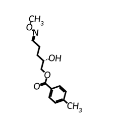 CON=CCC[C@H](O)COC(=O)c1ccc(C)cc1